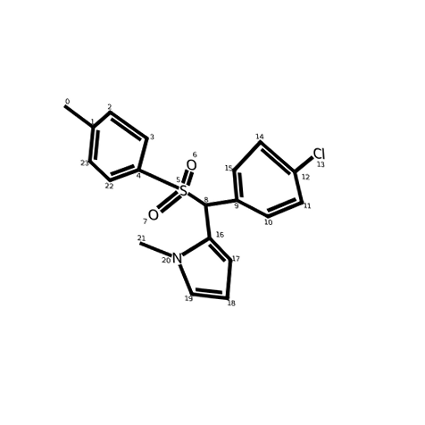 Cc1ccc(S(=O)(=O)C(c2ccc(Cl)cc2)c2cccn2C)cc1